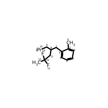 Cc1ccccc1CC(CC(C)C)CC(C)(F)F